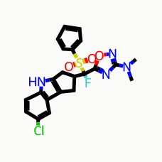 CN(C)c1noc(C(F)(C2Cc3[nH]c4ccc(Cl)cc4c3C2)S(=O)(=O)c2ccccc2)n1